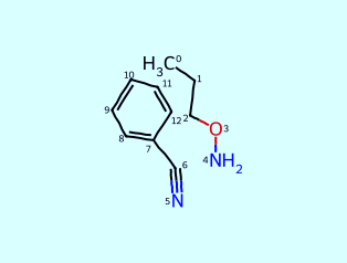 CCCON.N#Cc1ccccc1